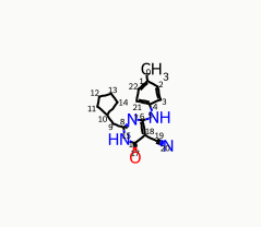 Cc1ccc(Nc2nc(CC3CCCC3)[nH]c(=O)c2C#N)cc1